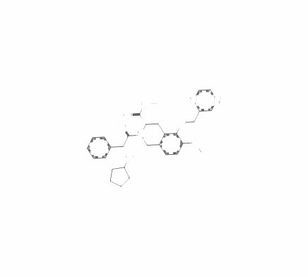 COc1ccc2c(c1OCc1cnccn1)C[C@H](C(=O)O)N(C(=O)[C@H](OC1CCCC1)c1ccccc1)C2